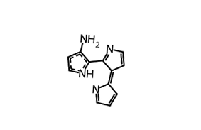 Nc1cc[nH]c1C1=NC=CC1=C1C=CC=N1